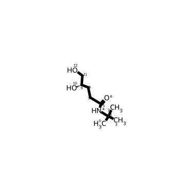 CC(C)(C)NC(=O)CC[C@H](O)CO